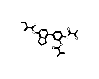 C=C(C)C(=O)Oc1cc(-c2ccc(OC(=O)C(=C)CC)c3c2CCC3)ccc1OC(=O)C(C)=O